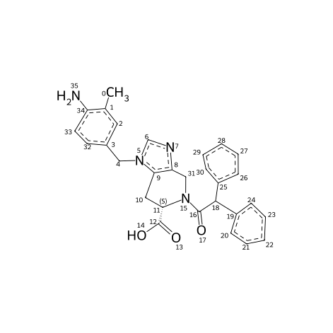 Cc1cc(Cn2cnc3c2C[C@@H](C(=O)O)N(C(=O)C(c2ccccc2)c2ccccc2)C3)ccc1N